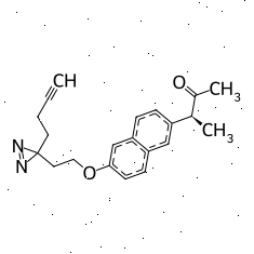 C#CCCC1(CCOc2ccc3cc([C@H](C)C(C)=O)ccc3c2)N=N1